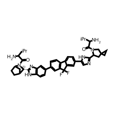 CC(C)C(N)C(=O)N1CC2(CC2)CC1c1ncc(-c2ccc3c(c2)C(F)(F)c2cc(-c4ccc5[nH]c([C@@H]6C7CCC(C7)N6C(=O)C(N)C(C)C)nc5c4)ccc2-3)[nH]1